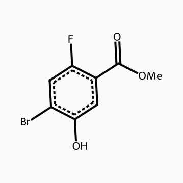 COC(=O)c1cc(O)c(Br)cc1F